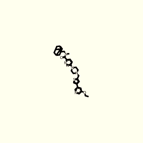 CCOc1cncc(-c2csc(CN3CCN(c4ccc(C(=O)N(C)CC56CC7CC(CC(C7)C5)C6)nn4)CC3)c2)c1